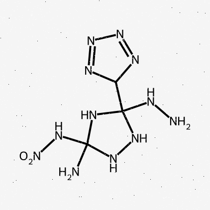 NNC1(C2N=NN=N2)NNC(N)(N[N+](=O)[O-])N1